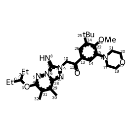 CCC(CC)Oc1nn2c(=N)n(CC(=O)c3cc(N4CCOCC4)c(OC)c(C(C)(C)C)c3)nc2c(C)c1C